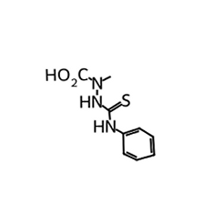 CN(NC(=S)Nc1ccccc1)C(=O)O